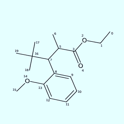 CCOC(=O)C(C)C(c1ccccc1OC)C(C)(C)C